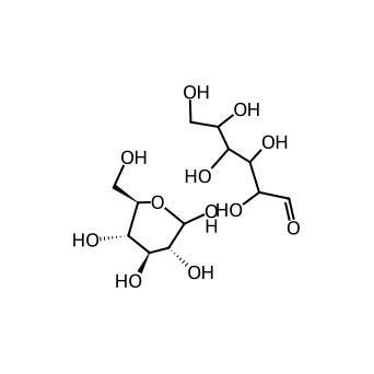 O=CC(O)C(O)C(O)C(O)CO.OC[C@H]1OC(O)[C@H](O)[C@@H](O)[C@@H]1O